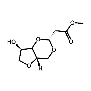 COC(=O)C[C@@H]1OC[C@@H]2OC[C@@H](O)C2O1